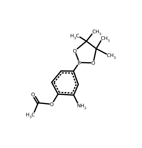 CC(=O)Oc1ccc(B2OC(C)(C)C(C)(C)O2)cc1N